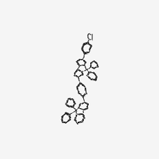 Clc1ccc(-c2ccc3c(c2)C(c2ccccc2)(c2ccccc2)c2cc(-c4ccc(-c5ccc6c(c5)C(c5ccccc5)(c5ccccc5)c5ccccc5-6)cc4)ccc2-3)cc1